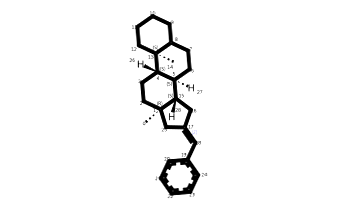 C[C@]12CC[C@H]3[C@@H](CCC4CCCC[C@@]43C)[C@@H]1C/C(=C/c1ccccc1)C2